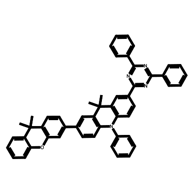 CC1(C)c2ccccc2Oc2cc(-c3ccc4c(c3)C(C)(C)c3cc(-c5nc(-c6ccccc6)nc(-c6ccccc6)n5)ccc3N4c3ccccc3)ccc21